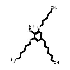 CCCCCCOc1cc(CCCCCCO)cc(OCCCCCC)c1N=N